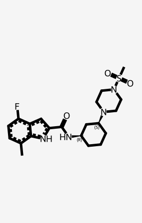 Cc1ccc(F)c2cc(C(=O)N[C@@H]3CCC[C@H](N4CCN(S(C)(=O)=O)CC4)C3)[nH]c12